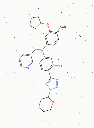 COc1ccc(N(Cc2cccnc2)c2ccc(-c3nnn(C4CCCCO4)n3)c(Cl)c2)cc1OC1CCCC1